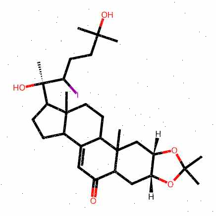 CC(C)(O)CCC(I)[C@](C)(O)C1CCC2C3=CC(=O)C4C[C@H]5OC(C)(C)O[C@H]5CC4(C)C3CCC21C